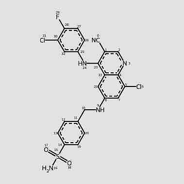 N#Cc1cnc2c(Cl)cc(NCc3ccc(S(N)(=O)=O)cc3)cc2c1Nc1ccc(F)c(Cl)c1